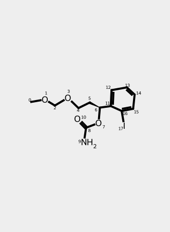 COCOCC[C@H](OC(N)=O)c1ccccc1I